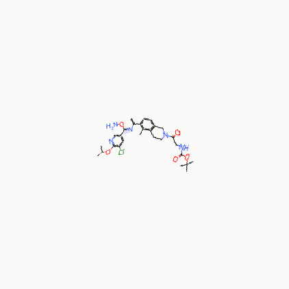 C=C(/N=C(\ON)c1cnc(OC(C)C)c(Cl)c1)c1ccc2c(c1C)CCN(C(=O)CNC(=O)OC(C)(C)C)C2